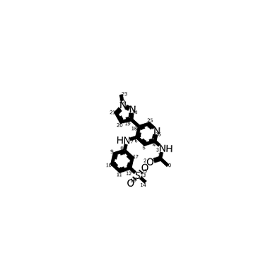 CC(=O)Nc1cc(Nc2cccc(S(C)(=O)=O)c2)c(-c2ccn(C)n2)cn1